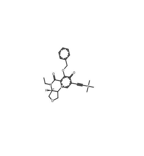 CCN1C(=O)c2c(OCc3ccccc3)c(=O)c(C#C[Si](C)(C)C)cn2C2COC[C@@H]21